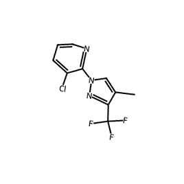 Cc1cn(-c2ncccc2Cl)nc1C(F)(F)F